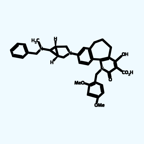 COc1ccc(Cn2c3c(c(O)c(C(=O)O)c2=O)CCCc2cc(N4C[C@@H]5C(N(C)Cc6ccccc6)[C@@H]5C4)ccc2-3)c(OC)c1